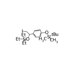 CC[Si](CC)(CC)OC(CI)c1ccc(O[Si](C)(C)C(C)(C)C)cc1